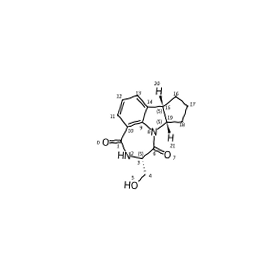 O=C1N[C@@H](CO)C(=O)N2c3c1cccc3[C@@H]1CCC[C@@H]12